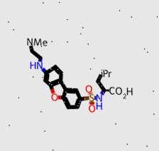 CNCCNc1ccc2c(c1)oc1ccc(S(=O)(=O)N[C@@H](CC(C)C)C(=O)O)cc12